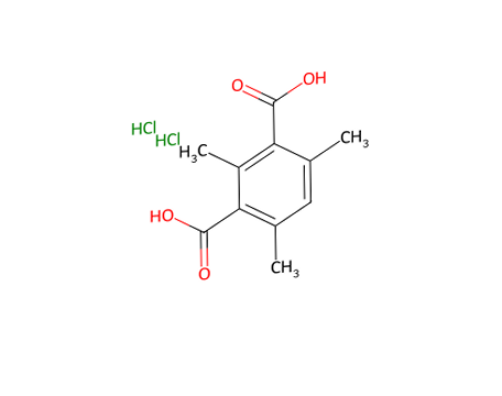 Cc1cc(C)c(C(=O)O)c(C)c1C(=O)O.Cl.Cl